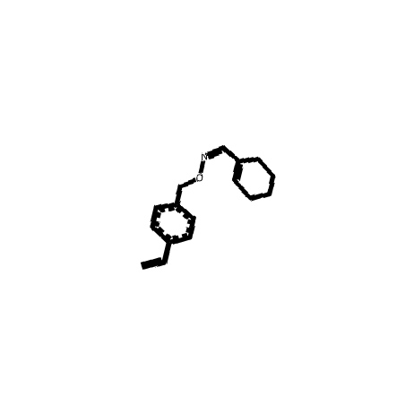 C=Cc1ccc(CO/N=[C]\C2=CCCCC2)cc1